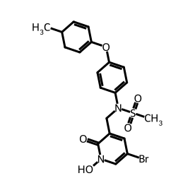 CC1C=CC(Oc2ccc(N(Cc3cc(Br)cn(O)c3=O)S(C)(=O)=O)cc2)=CC1